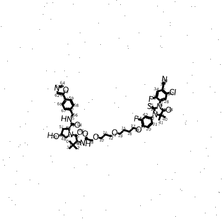 CC(C)(C)[C@H](NC(=O)COCCCOCCCCOc1ccc(N2C(=S)N(c3cc(Cl)c(C#N)cc3F)C(=O)C2(C)C)cc1F)C(=O)N1C[C@H](O)C[C@H]1C(=O)NCc1ccc(-c2cnco2)cc1